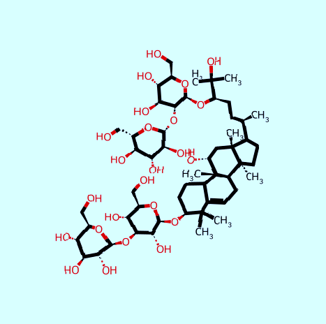 C[C@H](CC[C@@H](O[C@@H]1O[C@H](CO)[C@@H](O)[C@H](O)[C@H]1O[C@H]1O[C@@H](CO)[C@H](O)[C@@H](O)[C@@H]1O)C(C)(C)O)C1CC[C@@]2(C)C3CC=C4C(CC[C@H](O[C@@H]5O[C@H](CO)[C@@H](O)[C@H](O[C@@H]6O[C@H](CO)[C@@H](O)[C@H](O)[C@H]6O)[C@H]5O)C4(C)C)[C@]3(C)[C@H](O)C[C@]12C